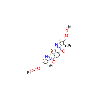 CCCc1c(CCOCCOCC)sc2nc3c4sc5c6c(ccc(c(=O)n3c12)c46)c(=O)n1c5nc2sc(CCOCCOCC)c(CCC)c21